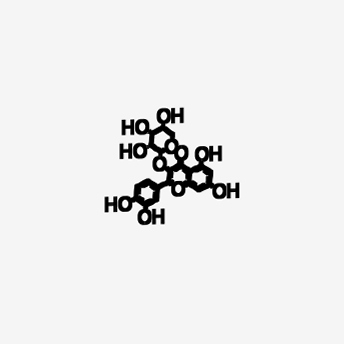 O=c1c(O[C@@H]2OC[C@H](O)[C@H](O)[C@H]2O)c(-c2ccc(O)c(O)c2)oc2cc(O)cc(O)c12